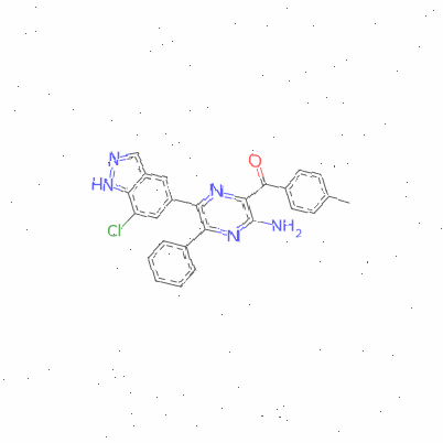 Cc1ccc(C(=O)c2nc(-c3cc(Cl)c4[nH]ncc4c3)c(-c3ccccc3)nc2N)cc1